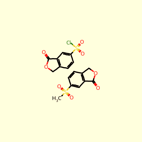 CS(=O)(=O)c1ccc2c(c1)C(=O)OC2.O=C1OCc2ccc(S(=O)(=O)Cl)cc21